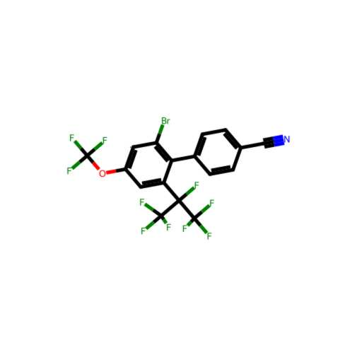 N#Cc1ccc(-c2c(Br)[c]c(OC(F)(F)F)cc2C(F)(C(F)(F)F)C(F)(F)F)cc1